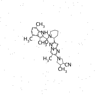 Cc1cn2nc([C@@H]3CCCCN3C(=O)c3[nH]c4c(C)ccc(C)c4c3C)cc2nc1N1C[C@@H](C#N)[C@@H](C)C1